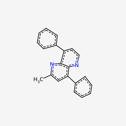 Cc1cc(-c2ccccc2)c2nccc(-c3ccccc3)c2n1